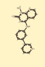 O=c1nc(Nc2cccc(-c3cccnc3)c2)c2cccnc2n1O